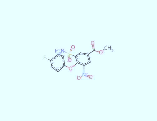 COC(=O)c1cc([N+](=O)[O-])c(Oc2ccc(F)cc2)c(S(N)(=O)=O)c1